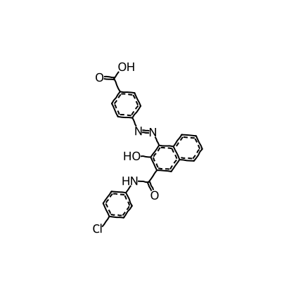 O=C(O)c1ccc(N=Nc2c(O)c(C(=O)Nc3ccc(Cl)cc3)cc3ccccc23)cc1